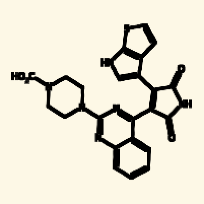 O=C1NC(=O)C(c2c[nH]c3sccc23)=C1c1nc(N2CCN(C(=O)O)CC2)nc2ccccc12